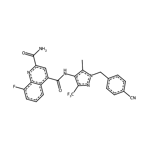 Cc1c(NC(=O)c2cc(C(N)=O)nc3c(F)cccc23)c(C(F)(F)F)nn1Cc1ccc(C#N)cc1